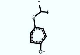 Oc1ccc(SC(F)F)cc1